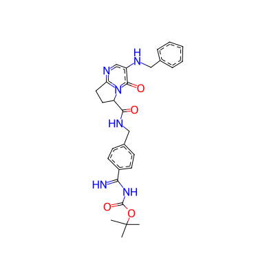 CC(C)(C)OC(=O)NC(=N)c1ccc(CNC(=O)C2CCc3ncc(NCc4ccccc4)c(=O)n32)cc1